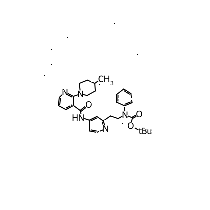 CC1CCN(c2ncccc2C(=O)Nc2ccnc(CCN(C(=O)OC(C)(C)C)c3ccccc3)c2)CC1